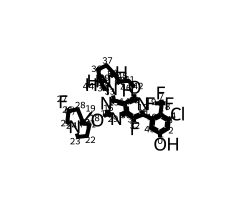 Oc1cc(Cl)c(C(F)(F)F)c(-c2nc3c4c(nc(OC[C@@]56CCCN5C[C@@H](F)C6)nc4c2F)N2C[C@@H]4CC[C@@H](N4)[C@H]2CO3)c1